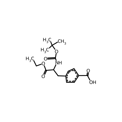 CCOC(=O)C(Cc1ccc(C(=O)O)cc1)NC(=O)OC(C)(C)C